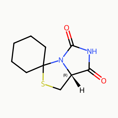 O=C1NC(=O)N2[C@H]1CSC21CCCCC1